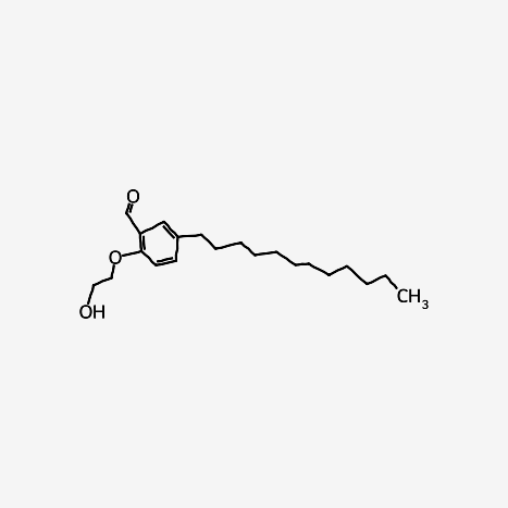 CCCCCCCCCCCCc1ccc(OCCO)c(C=O)c1